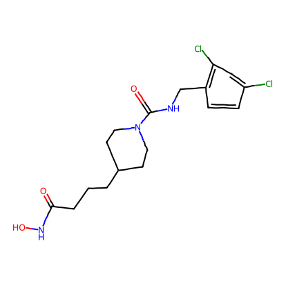 O=C(CCCC1CCN(C(=O)NCc2ccc(Cl)cc2Cl)CC1)NO